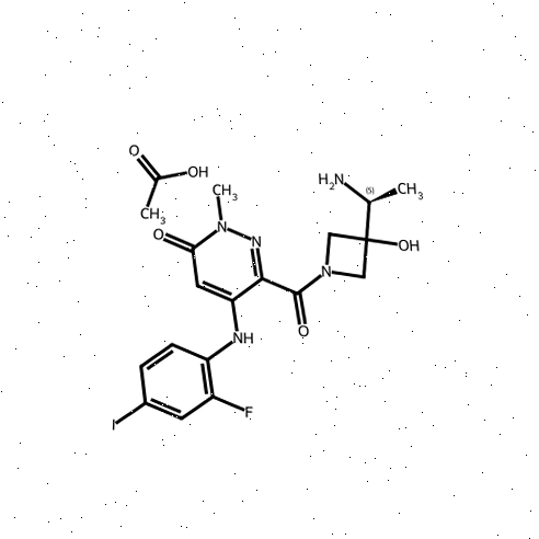 CC(=O)O.C[C@H](N)C1(O)CN(C(=O)c2nn(C)c(=O)cc2Nc2ccc(I)cc2F)C1